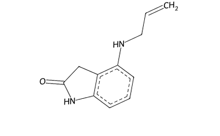 C=CCNc1cccc2c1CC(=O)N2